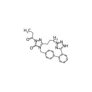 CCCc1nn(C(=O)CC)c(=O)n1Cc1ccc(-c2ccccc2-c2nnn[nH]2)cc1